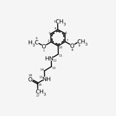 COc1cc(C)cc(OC)c1CNCCNC(C)=O